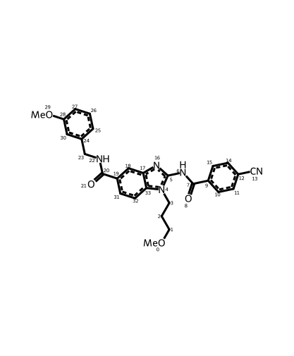 COCCCn1c(NC(=O)c2ccc(C#N)cc2)nc2cc(C(=O)NCc3cccc(OC)c3)ccc21